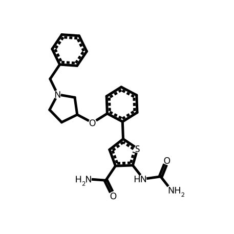 NC(=O)Nc1sc(-c2ccccc2OC2CCN(Cc3ccccc3)C2)cc1C(N)=O